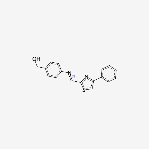 OCc1ccc(/N=C/c2nc(-c3ccccc3)cs2)cc1